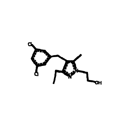 CCc1nn(CCO)c(C)c1Cc1cc(Cl)cc(Cl)c1